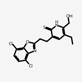 CCc1cc(CCc2nc3c(Cl)ccc(Cl)c3o2)c(=S)[nH]c1CO